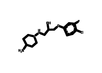 NC1CCN(NCC(O)COc2ccc(Cl)c(F)c2)CC1